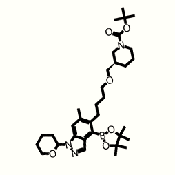 Cc1cc2c(cnn2C2CCCCO2)c(B2OC(C)(C)C(C)(C)O2)c1CCCCOC[C@@H]1CCCN(C(=O)OC(C)(C)C)C1